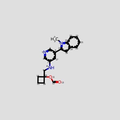 Cn1c(-c2cncc(NCC3(OC=O)CCC3)c2)cc2ccccc21